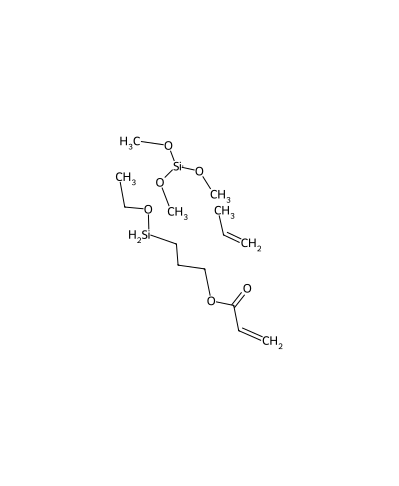 C=CC.C=CC(=O)OCCC[SiH2]OCC.CO[Si](OC)OC